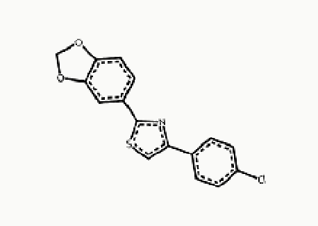 Clc1ccc(-c2csc(-c3ccc4c(c3)OCO4)n2)cc1